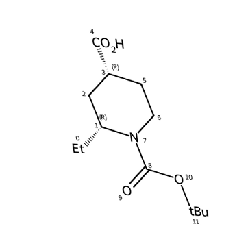 CC[C@@H]1C[C@H](C(=O)O)CCN1C(=O)OC(C)(C)C